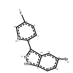 Fc1ccc(-c2n[nH]c3ccc(Br)cc23)nc1